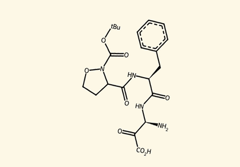 CC(C)(C)OC(=O)N1OCCC1C(=O)N[C@@H](Cc1ccccc1)C(=O)N[C@@H](N)C(=O)C(=O)O